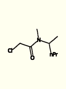 CCCC(C)N(C)C(=O)CCl